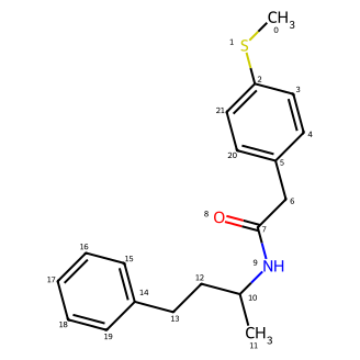 CSc1ccc(CC(=O)NC(C)CCc2ccccc2)cc1